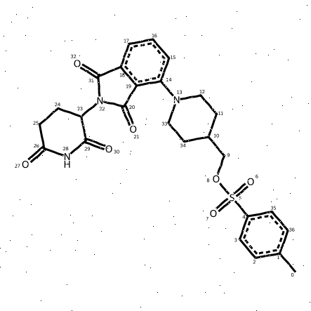 Cc1ccc(S(=O)(=O)OCC2CCN(c3cccc4c3C(=O)N(C3CCC(=O)NC3=O)C4=O)CC2)cc1